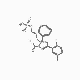 CC(=O)N1N=C(c2cc(F)ccc2F)C[C@@]1(CCCOP(=O)(O)O)c1ccccc1